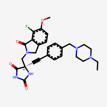 CCN1CCN(Cc2ccc(C#C[C@]3(CN4Cc5ccc(OC)c(F)c5C4=O)NC(=O)NC3=O)cc2)CC1